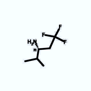 CC(C)[C@H](N)CC(F)(F)F